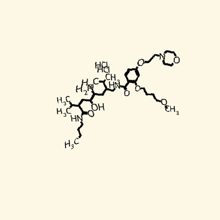 CCCCNC(=O)C(CC(O)C(N)CC(CNC(=O)c1ccc(OCCN2CCOCC2)cc1OCCCCOC)C(C)C)C(C)C.Cl.Cl